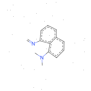 C=Nc1cccc2cccc(N(C)C)c12